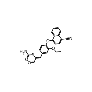 CCOc1cc(/C=C(/C=O)SC(N)=O)ccc1Oc1ccc(C#N)c2ccccc12